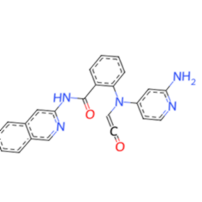 Nc1cc(N(C=C=O)c2ccccc2C(=O)Nc2cc3ccccc3cn2)ccn1